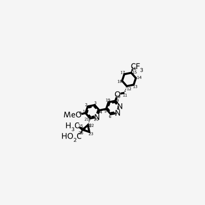 COc1ccc(-c2cnnc(OC[C@H]3CC[C@H](C(F)(F)F)CC3)c2)nc1[C@@H]1C[C@@]1(C)C(=O)O